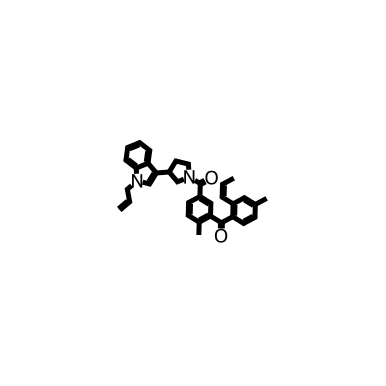 C=CCn1cc(C2CCN(C(=O)c3ccc(C)c(C(=O)c4ccc(C)cc4C=CC)c3)C2)c2ccccc21